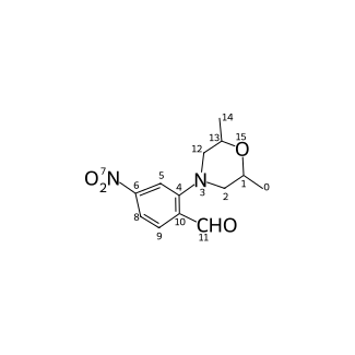 CC1CN(c2cc([N+](=O)[O-])ccc2C=O)CC(C)O1